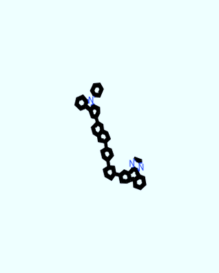 c1ccc(-n2c3ccccc3c3cc(-c4ccc5cc(-c6ccc(-c7cccc(-c8ccc9c%10ccccc%10c%10nccnc%10c9c8)c7)cc6)ccc5c4)ccc32)cc1